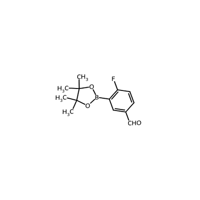 CC1(C)OB(c2cc(C=O)ccc2F)OC1(C)C